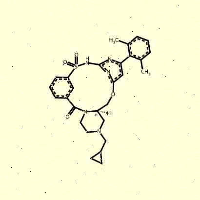 Cc1cccc(C)c1-c1cc2nc(n1)NS(=O)(=O)c1cccc(c1)C(=O)N1CCN(CC3CC3)C[C@@H]1CO2